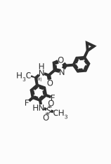 C[C@@H](NC(=O)c1coc(-c2cccc(C3CC3)c2)n1)c1cc(F)c(NS(C)(=O)=O)c(F)c1